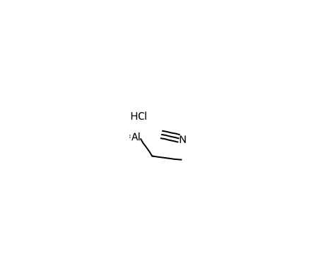 C#N.C[CH2][Al].Cl